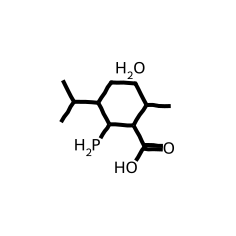 CC(C)C1CCC(C)C(C(=O)O)C1P.O